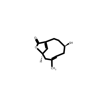 C/C1=C\C[C@H](S)CCC2=C[C@@H](C1)OC2=O